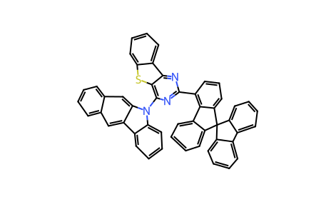 c1ccc2c(c1)-c1ccccc1C21c2ccccc2-c2c(-c3nc(-n4c5ccccc5c5cc6ccccc6cc54)c4sc5ccccc5c4n3)cccc21